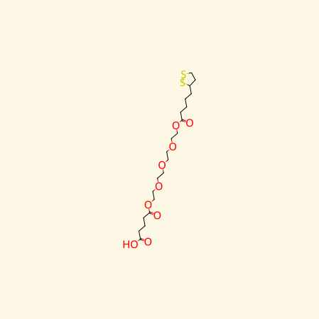 O=C(O)CCCC(=O)OCCOCCOCCOCCOC(=O)CCCCC1CCSS1